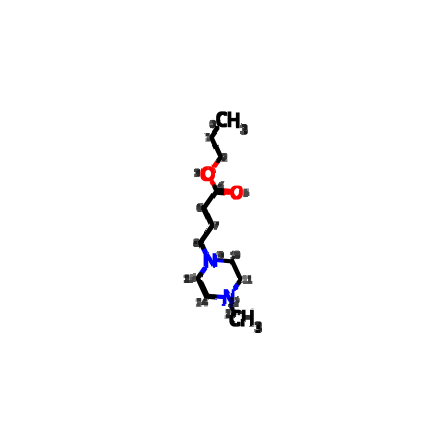 CCCOC(=O)CCCN1CCN(C)CC1